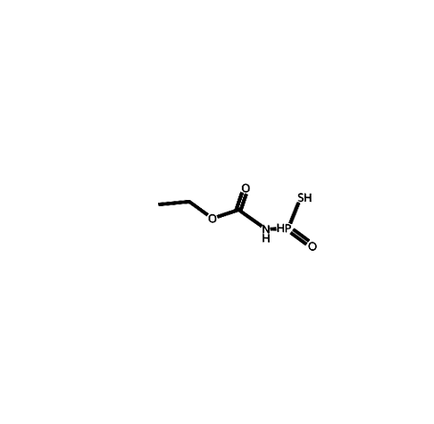 CCOC(=O)N[PH](=O)S